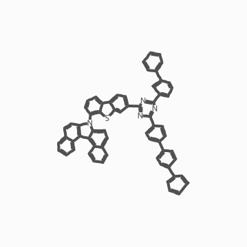 c1ccc(-c2ccc(-c3ccc(-c4nc(-c5cccc(-c6ccccc6)c5)nc(-c5ccc6c(c5)sc5c(-n7c8ccc9ccccc9c8c8c9ccccc9ccc87)cccc56)n4)cc3)cc2)cc1